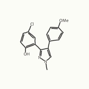 COc1ccc(-c2cn(C)nc2-c2cc(Cl)ccc2O)cc1